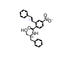 O=C(N[C@H](CO)Cc1ccccc1)c1ccc([N+](=O)[O-])cc1/C=C/c1ccccc1